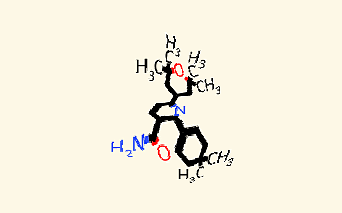 CC1(C)CC=C(c2nc(C3CC(C)(C)OC(C)(C)C3)ccc2C(N)=O)CC1